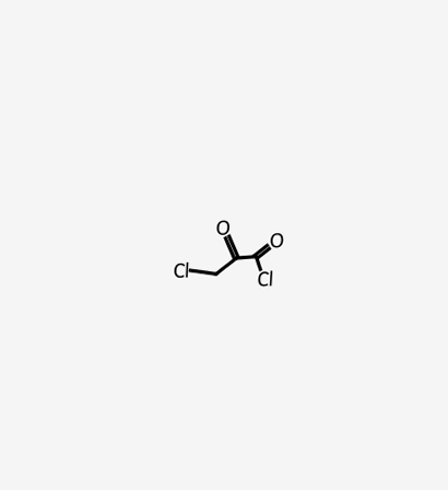 O=C(Cl)C(=O)CCl